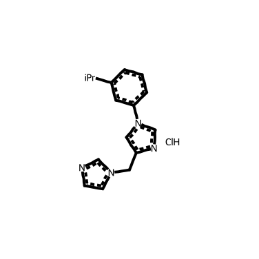 CC(C)c1cccc(-n2cnc(Cn3ccnc3)c2)c1.Cl